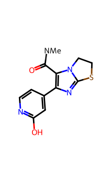 CNC(=O)c1c(-c2ccnc(O)c2)nc2n1CCS2